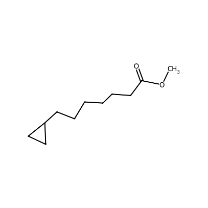 COC(=O)CCCCCCC1CC1